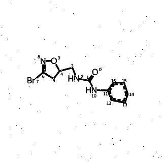 O=C(NCC1CC(Br)=NO1)Nc1ccccc1